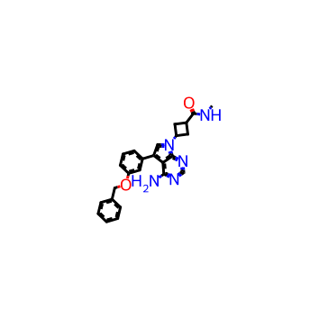 CNC(=O)C1CC(n2cc(-c3cccc(OCc4ccccc4)c3)c3c(N)ncnc32)C1